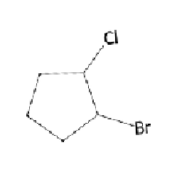 ClC1CCCC1Br